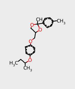 CCC(C)Oc1ccc(OCC2COC(C)(c3ccc(C)cc3)O2)cc1